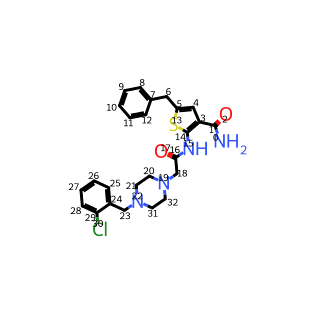 NC(=O)c1cc(Cc2ccccc2)sc1NC(=O)CN1CCN(Cc2ccccc2Cl)CC1